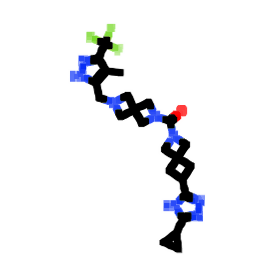 Cc1c(C(F)(F)F)n[nH]c1CN1CC2(C1)CN(C(=O)N1CC3(CC(c4nnc(C5CC5)[nH]4)C3)C1)C2